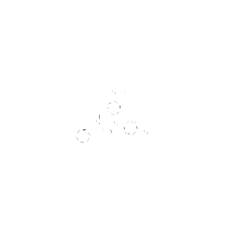 CC(=O)Nc1ccc2c(c1)C(C1CCCCC1)=NN(Cc1ccccc1)C(=O)N2c1ccc([N+](=O)[O-])cc1